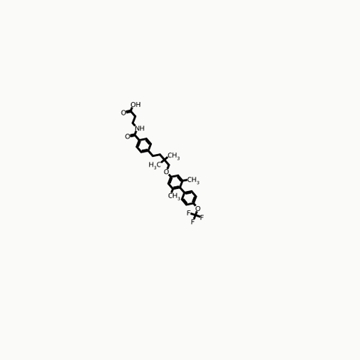 Cc1cc(OCC(C)(C)CCc2ccc(C(=O)NCCC(=O)O)cc2)cc(C)c1-c1ccc(OC(F)(F)F)cc1